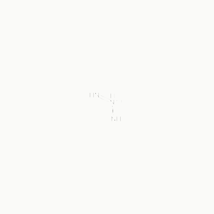 N=NN.O